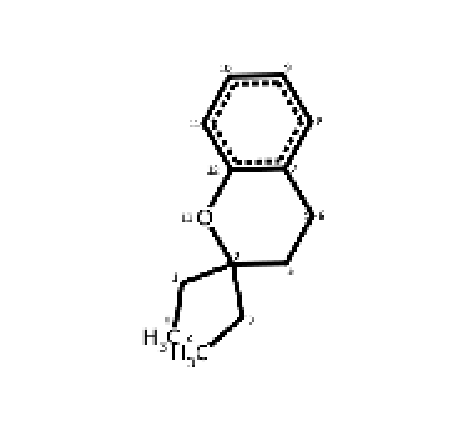 CCC1(CC)C[C]c2ccccc2O1